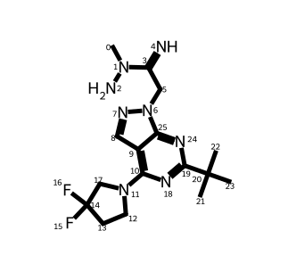 CN(N)C(=N)Cn1ncc2c(N3CCC(F)(F)C3)nc(C(C)(C)C)nc21